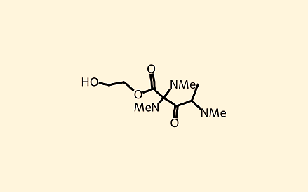 CNC(C)C(=O)C(NC)(NC)C(=O)OCCO